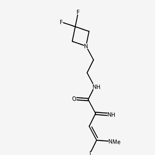 CN/C(I)=C\C(=N)C(=O)NCCN1CC(F)(F)C1